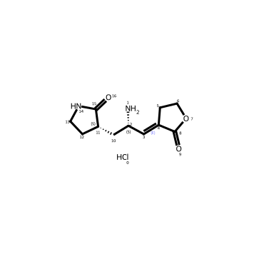 Cl.N[C@H](/C=C1\CCOC1=O)C[C@@H]1CCNC1=O